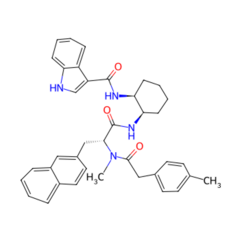 Cc1ccc(CC(=O)N(C)[C@H](Cc2ccc3ccccc3c2)C(=O)N[C@@H]2CCCC[C@@H]2NC(=O)c2c[nH]c3ccccc23)cc1